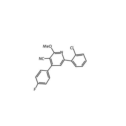 COc1nc(-c2ccccc2Cl)cc(-c2ccc(F)cc2)c1C#N